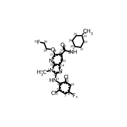 Cn1c(Nc2c(Cl)cc(F)cc2Cl)nc2cc(C(=O)N[C@H]3CC[C@H](C)CC3)c(OCCF)nc21